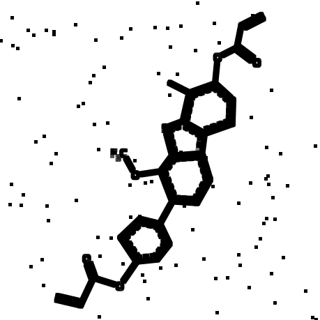 C=CC(=O)Oc1ccc(-c2ccc3c(sc4c(C)c(OC(=O)C=C)ccc43)c2OC(F)(F)F)cc1